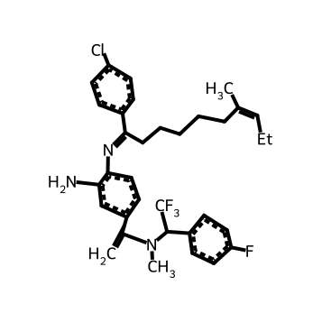 C=C(c1ccc(/N=C(\CCCCC/C(C)=C\CC)c2ccc(Cl)cc2)c(N)c1)N(C)C(c1ccc(F)cc1)C(F)(F)F